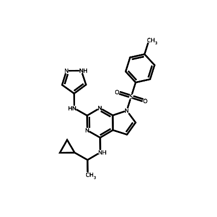 Cc1ccc(S(=O)(=O)n2ccc3c(NC(C)C4CC4)nc(Nc4cn[nH]c4)nc32)cc1